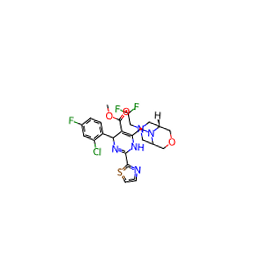 COC(=O)C1=C(CN2C3COC[C@H]2CN(CC(F)F)C3)NC(c2nccs2)=NC1c1ccc(F)cc1Cl